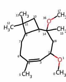 COC1C=C(C)CCC2C(CC2(C)C)C(C)(OC)C1